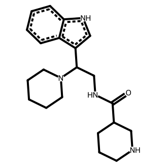 O=C(NCC(c1c[nH]c2ccccc12)N1CCCCC1)C1CCCNC1